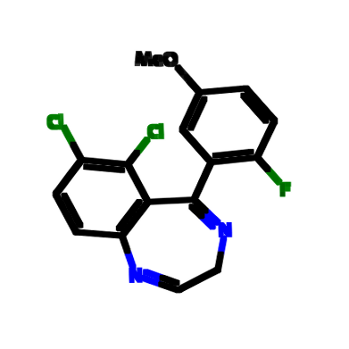 COc1ccc(F)c(C2=NCC=Nc3ccc(Cl)c(Cl)c32)c1